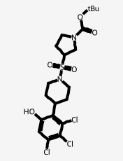 CC(C)(C)OC(=O)N1CCC(S(=O)(=O)N2CCC(c3c(O)cc(Cl)c(Cl)c3Cl)CC2)C1